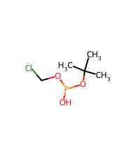 CC(C)(C)OP(O)OCCl